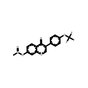 CS(=O)Oc1ccc2c(=O)c(-c3ccc(OC(F)(F)F)cc3)coc2c1